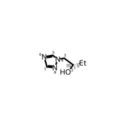 CC[C@H](O)Cn1cncn1